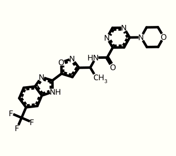 CC(NC(=O)c1cc(N2CCOCC2)ncn1)c1cc(-c2nc3ccc(C(F)(F)F)cc3[nH]2)on1